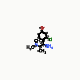 C[C@@H](C(N)c1ccc(Br)cc1Cl)N(C)C